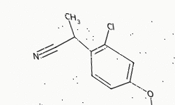 COc1ccc(C(C)C#N)c(Cl)c1